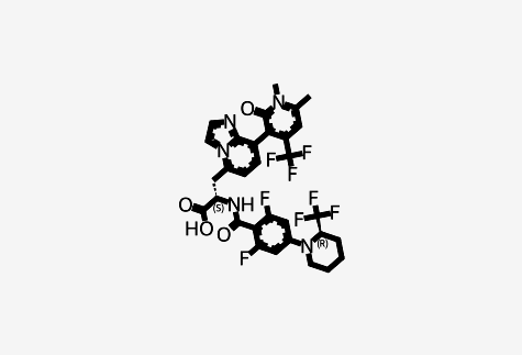 Cc1cc(C(F)(F)F)c(-c2ccc(C[C@H](NC(=O)c3c(F)cc(N4CCCC[C@@H]4C(F)(F)F)cc3F)C(=O)O)n3ccnc23)c(=O)n1C